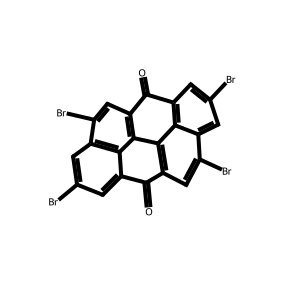 O=c1c2cc(Br)c3cc(Br)cc4c(=O)c5cc(Br)c6cc(Br)cc1c6c5-c2c34